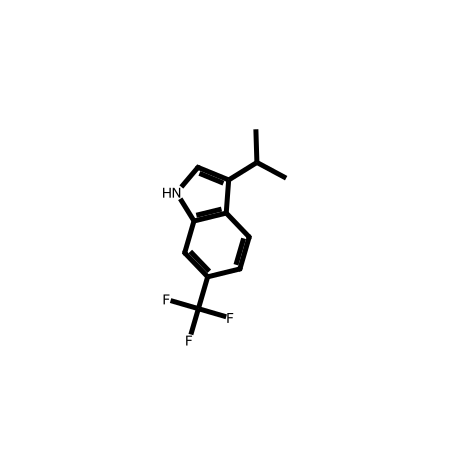 CC(C)c1c[nH]c2cc(C(F)(F)F)ccc12